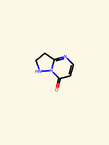 O=c1[c]cnc2n1NCC2